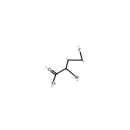 CCC(=O)C(Br)CCF